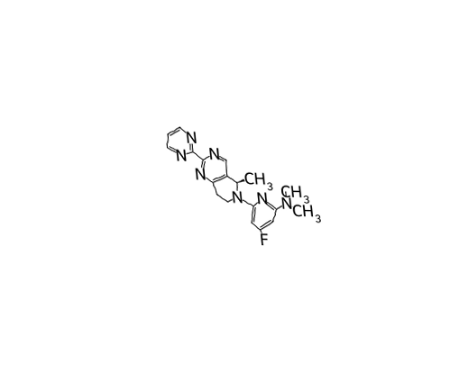 C[C@@H]1c2cnc(-c3ncccn3)nc2CCN1c1cc(F)cc(N(C)C)n1